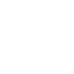 CC(C)c1ccc(Cc2cccc3[c]cn(C)c23)cc1